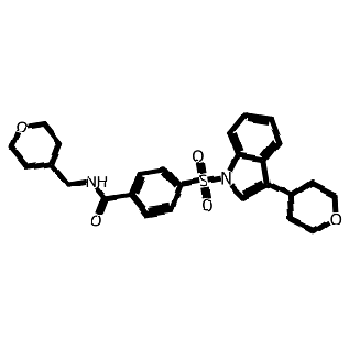 O=C(NCC1CCOCC1)c1ccc(S(=O)(=O)n2cc(C3CCOCC3)c3ccccc32)cc1